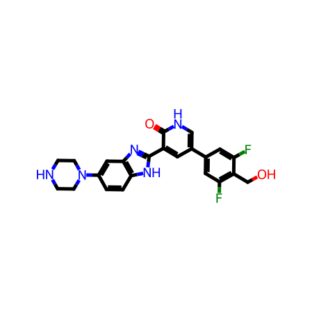 O=c1[nH]cc(-c2cc(F)c(CO)c(F)c2)cc1-c1nc2cc(N3CCNCC3)ccc2[nH]1